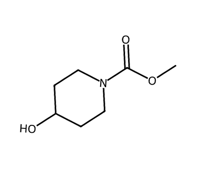 COC(=O)N1CCC(O)CC1